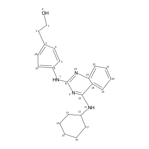 OCCc1ccc(Nc2nc(NC3CCCCC3)c3ccccc3n2)cc1